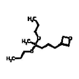 CCCO[Si](C)(CCCC1COC1)OCCC